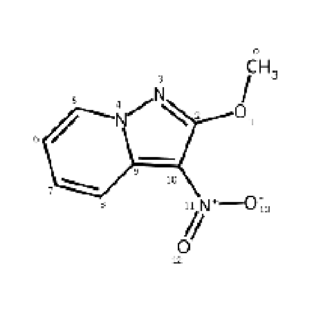 COc1nn2ccccc2c1[N+](=O)[O-]